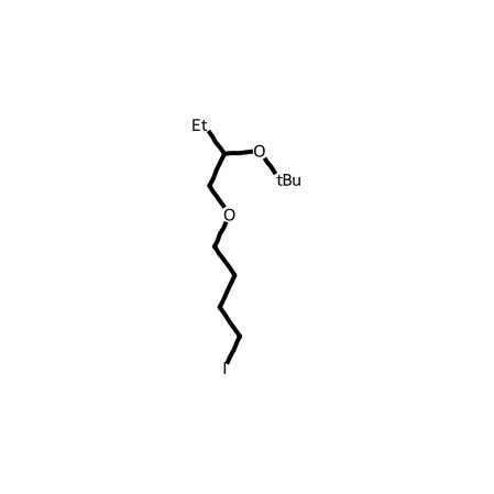 CCC(COCCCCI)OC(C)(C)C